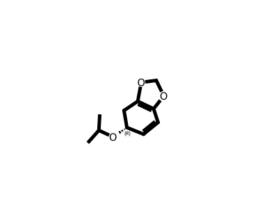 CC(C)O[C@H]1C=CC2=C(C1)OCO2